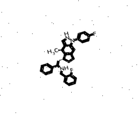 C[C@H]1C2=CNN(c3ccc(F)cc3)C2=CC2=C1[C@@H](CC(NCc1ccccc1F)c1ccccc1)CC2